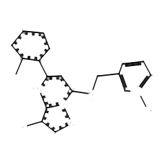 Cc1ccccc1-c1cc(NCC2=C[PH](O)=CC=C2)n2ncc(Br)c2n1